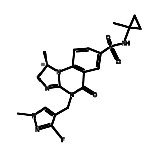 C[C@@H]1CN=C2N(Cc3cn(C)nc3F)C(=O)c3cc(S(=O)(=O)NC4(C)CC4)ccc3N21